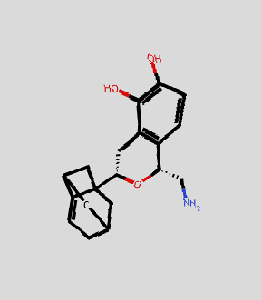 NC[C@@H]1O[C@H](C23CC4CC=C2C(C4)C3)Cc2c1ccc(O)c2O